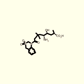 C[C@H](C[C@H](O)[C@@H](N)CC(C)(C)CC(=O)N1CS(=O)(=O)Cc2ccccc21)C(=O)O